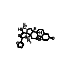 C[C@@H]1C[C@H]2[C@@H]3CCC4=CC(=O)C=C[C@]4(C)[C@]34OC4C[C@]2(C)[C@@]1(OC(=O)c1ccco1)C(=O)S